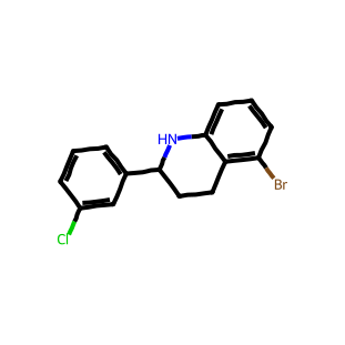 Clc1cccc(C2CCc3c(Br)cccc3N2)c1